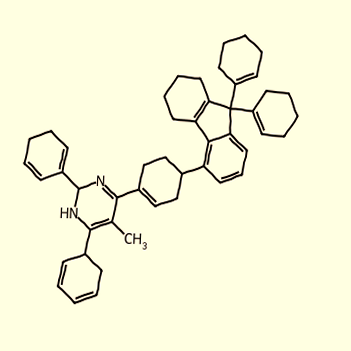 CC1=C(C2C=CC=CC2)NC(C2=CCCC=C2)N=C1C1=CCC(c2cccc3c2C2=C(CCCC2)C3(C2=CCCCC2)C2=CCCCC2)CC1